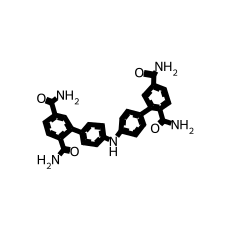 NC(=O)c1ccc(C(N)=O)c(-c2ccc(Nc3ccc(-c4cc(C(N)=O)ccc4C(N)=O)cc3)cc2)c1